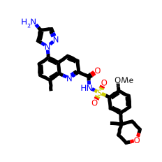 COc1ccc(C2(C)CCOCC2)cc1S(=O)(=O)NC(=O)c1ccc2c(-n3cc(N)cn3)ccc(C)c2n1